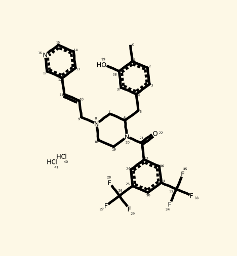 Cc1ccc(CC2CN(C/C=C/c3cccnc3)CCN2C(=O)c2cc(C(F)(F)F)cc(C(F)(F)F)c2)cc1O.Cl.Cl